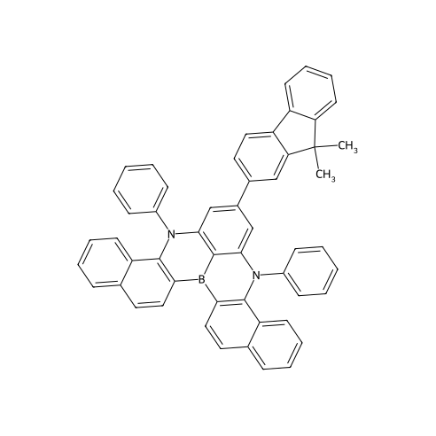 CC1(C)c2ccccc2-c2ccc(-c3cc4c5c(c3)N(c3ccccc3)c3c(ccc6ccccc36)B5c3ccc5ccccc5c3N4c3ccccc3)cc21